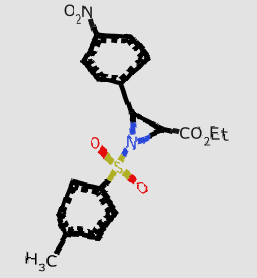 CCOC(=O)C1C(c2ccc([N+](=O)[O-])cc2)N1S(=O)(=O)c1ccc(C)cc1